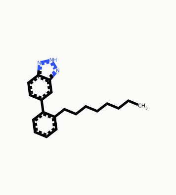 CCCCCCCCc1ccccc1-c1ccc2n[nH]nc2c1